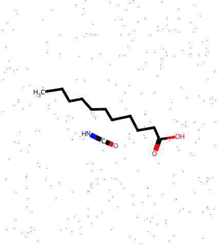 CCCCCCCCCCC(=O)O.N=C=O